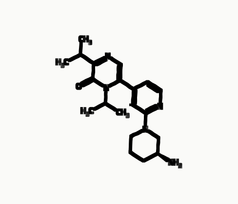 CC(C)c1ncc(-c2[c]c(N3CCC[C@H](N)C3)ncc2)n(C(C)C)c1=O